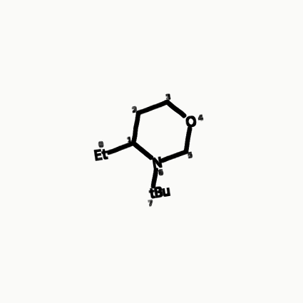 CCC1CCOCN1C(C)(C)C